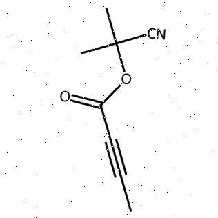 CC#CC(=O)OC(C)(C)C#N